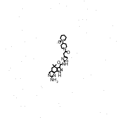 CC1(C)Cc2cnc(N)nc2-c2[nH]nc(C(=O)Nc3nc(CC(=O)N4CCC([N+]5([O-])CCCCC5)CC4)cs3)c21